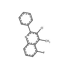 Cc1c(Cl)c(-c2ccccc2)nc2cccc(F)c12